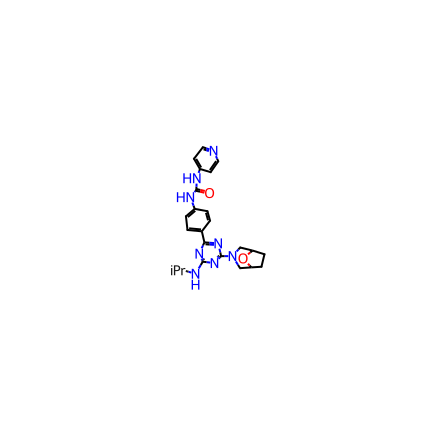 CC(C)Nc1nc(-c2ccc(NC(=O)Nc3ccncc3)cc2)nc(N2CC3CCC(C2)O3)n1